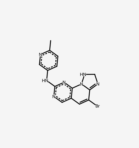 Cc1ccc(Nc2ncc3c(n2)N2NCN=C2C(Br)=C3)cn1